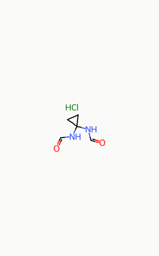 Cl.O=CNC1(NC=O)CC1